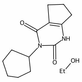 CCO.O=c1[nH]c2c(c(=O)n1C1CCCCC1)CCC2